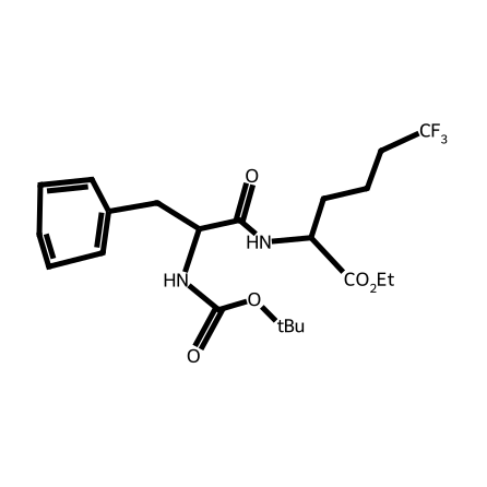 CCOC(=O)C(CCCC(F)(F)F)NC(=O)C(Cc1ccccc1)NC(=O)OC(C)(C)C